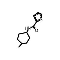 CC1CCC(NC(=O)c2cccs2)CC1